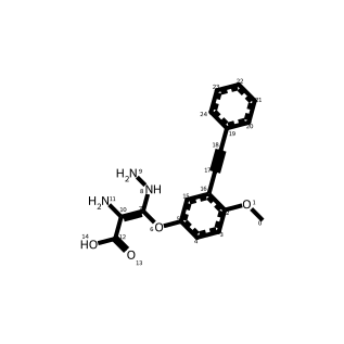 COc1ccc(O/C(NN)=C(/N)C(=O)O)cc1C#Cc1ccccc1